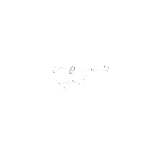 CC[C@H](C)[C@H](NC(=O)CN)C(=O)NCC(=O)N[C@H]1C[S+]([O-])c2[nH]c3c(CSCCCCNC(=O)CCCCCN4C(=O)C=CC4=O)c(OC)ccc3c2C[C@@H](CO)NC(=O)[C@H]([C@@H](C)[C@@H](O)CO)NC(=O)C[C@@H](O)CNC(=O)[C@H](CC(N)=O)NC1=O